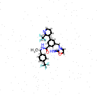 C[C@H](NC(=O)c1cc(Cn2ccoc2=N)cc(-c2cccnc2C(F)(F)F)c1)c1ccc(C(F)(F)F)cc1